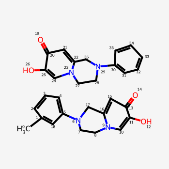 Cc1cccc(N2CCn3cc(O)c(=O)cc3C2)c1.O=c1cc2n(cc1O)CCN(c1ccccc1)C2